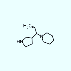 C=CC(C1CCNC1)N1CCCCC1